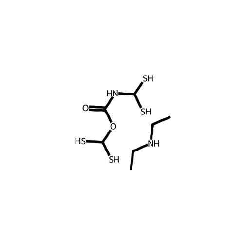 CCNCC.O=C(NC(S)S)OC(S)S